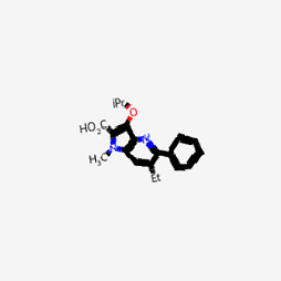 CCc1cc2c(nc1-c1ccccc1)c(OC(C)C)c(C(=O)O)n2C